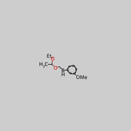 CCOC(C)OCBc1cccc(OC)c1